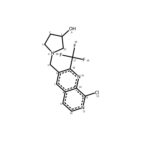 OC1CCN(Cc2cc3ccnc(Cl)c3nc2C(F)(F)F)C1